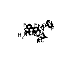 N#Cc1c(N)sc2c(F)ccc(-c3c(Cl)c4c5c(nc(OC[C@@]67CCCN6C[C@H](F)C7)nc5c3F)N(CC3CC3C#N)[C@@H](C(F)F)CO4)c12